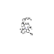 CCN1CCC(N2CCCC(/C=C(\N)c3c(C)cc(C#N)cc3C)=C2N)C1